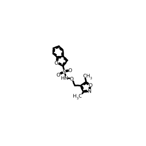 Cc1noc(C)c1CONS(=O)(=O)c1cc2ccccc2o1